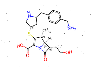 C[C@H]1C(S[C@@H]2CNC(Cc3ccc(CN)cc3)C2)=C(C(=O)O)N2C(=O)[C@@H](CCO)[C@H]12